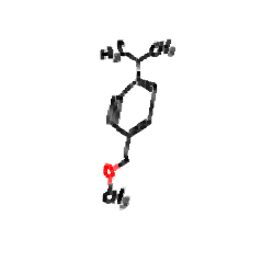 COCc1c#cc(C(C)C)cc1